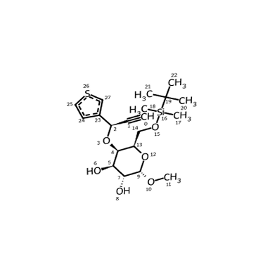 C#C[C@@H](O[C@@H]1[C@H](O)[C@@H](O)[C@@H](OC)O[C@@H]1CO[Si](C)(C)C(C)(C)C)c1ccsc1